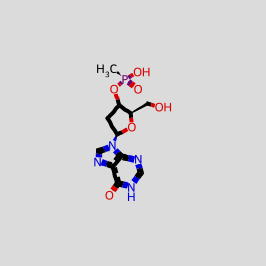 C[P@@](=O)(O)OC1C[C@H](n2cnc3c(=O)[nH]cnc32)O[C@@H]1CO